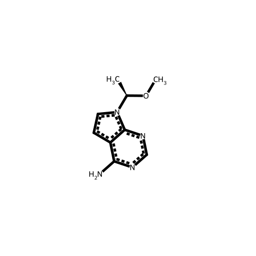 CO[C@H](C)n1ccc2c(N)ncnc21